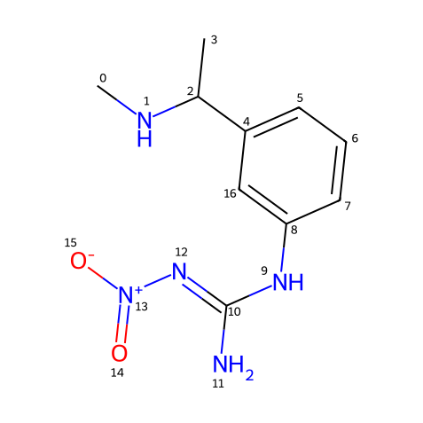 CNC(C)c1cccc(NC(N)=N[N+](=O)[O-])c1